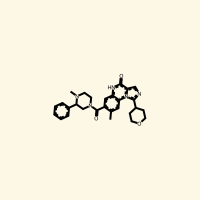 Cc1cc2c(cc1C(=O)N1CCN(C)C(c3ccccc3)C1)[nH]c(=O)c1cnc(C3CCOCC3)n12